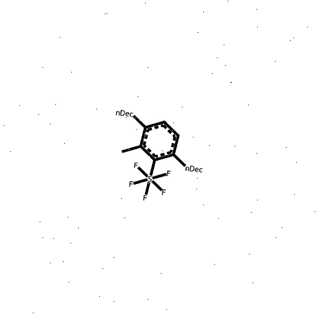 CCCCCCCCCCc1ccc(CCCCCCCCCC)c(S(F)(F)(F)(F)F)c1C